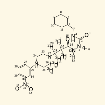 [2H]N(C(=O)NCC1CCCCC1)N([2H])C(=O)C([2H])([2H])C([2H])([2H])N1CCN(c2cccc([N+](=O)[O-])c2)CC1([2H])[2H]